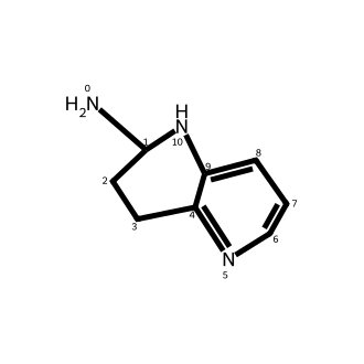 NC1CCc2ncccc2N1